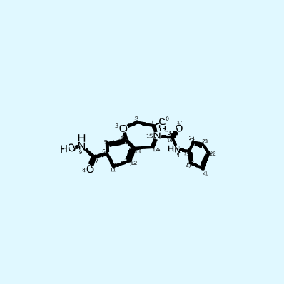 C[C@H]1COC2=CC(C(=O)NO)CC=C2CN1C(=O)Nc1ccccc1